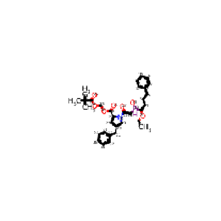 CCOC(CCCc1ccccc1)[PH](=O)CC(=O)N1C[C@@H](Cc2ccccc2)C[C@H]1C(=O)OCOC(=O)C(C)(C)C